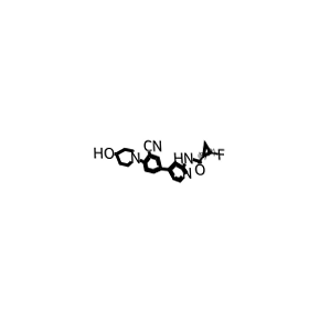 N#Cc1cc(-c2ccnc(NC(=O)[C@H]3C[C@H]3F)c2)ccc1N1CCC(O)CC1